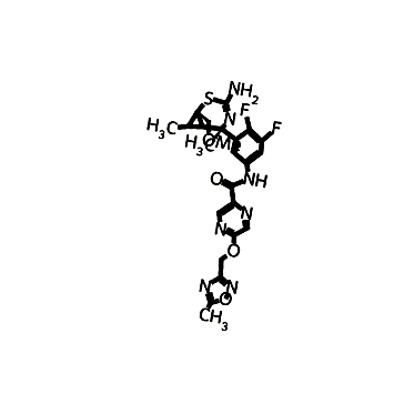 COC[C@@]12SC(N)=N[C@](C)(c3cc(NC(=O)c4cnc(OCc5noc(C)n5)cn4)cc(F)c3F)C1C2C